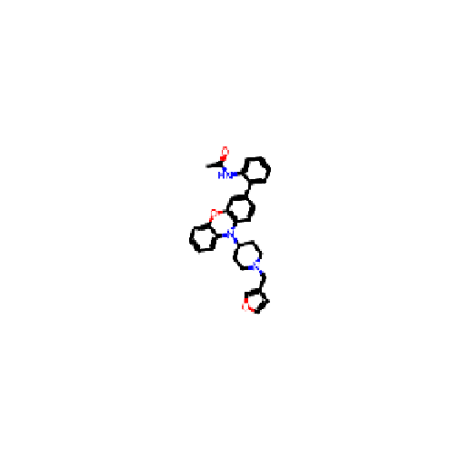 CC(=O)Nc1ccccc1-c1ccc2c(c1)Oc1ccccc1N2C1CCN(Cc2ccoc2)CC1